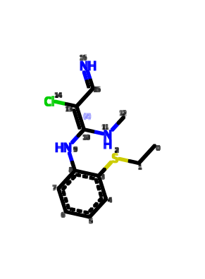 CCSc1ccccc1N/C(NC)=C(\Cl)C=N